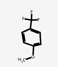 [CH2]Oc1ccc(C(F)(F)F)cc1